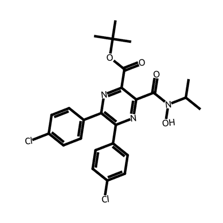 CC(C)N(O)C(=O)c1nc(-c2ccc(Cl)cc2)c(-c2ccc(Cl)cc2)nc1C(=O)OC(C)(C)C